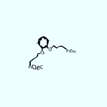 CCCCCCCCCCCCCOc1[c]cc[c]c1OCCCCCCCCCCCCC